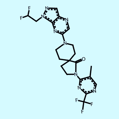 Cc1cnc(C(F)(F)F)nc1N1CCC2(CCN(c3cnc4cnn(CC(F)F)c4n3)CC2)C1=O